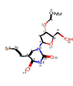 COCO[C@H]1C[C@H](n2cc(C=CBr)c(=O)[nH]c2=O)O[C@@H]1CO